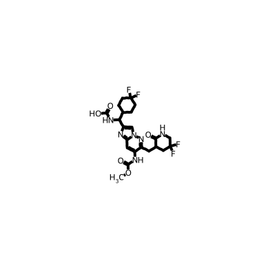 COC(=O)Nc1cc2nc(C(NC(=O)O)C3CCC(F)(F)CC3)cn2nc1CC1CC(F)(F)CNC1=O